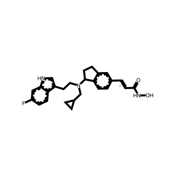 O=C(/C=C/c1ccc2c(c1)CCC2N(CCc1c[nH]c2cc(F)ccc12)CC1CC1)NO